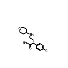 CC(C)C(=O)[C@H](CCNC1CCOCC1)c1ccc(Cl)cc1